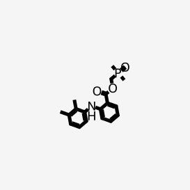 Cc1cccc(Nc2ccccc2C(=O)OCP(C)(C)=O)c1C